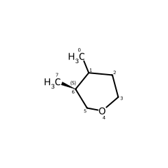 CC1CCOC[C@H]1C